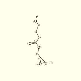 COCCCC(=O)OCC1OC1C